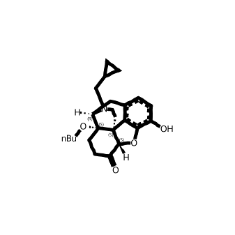 CCCCO[C@@]12CCC(=O)[C@H]3Oc4c(O)ccc5c4[C@@]31CCN(CC1CC1)[C@@H]2C5